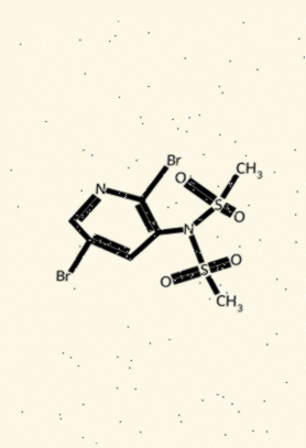 CS(=O)(=O)N(c1cc(Br)cnc1Br)S(C)(=O)=O